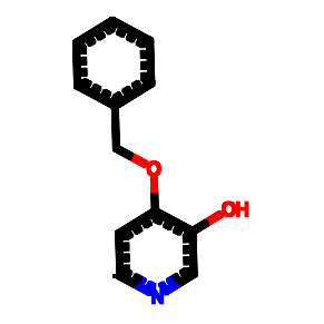 Oc1cn[c]cc1OCc1ccccc1